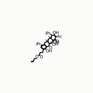 C=CCCOC(=O)CCc1cc(C(C)C)c2c(c1O)C(=O)C1=C(O)[C@@]3(O)C(=O)C(C(C)=O)=C(O)C(C(C)C)[C@@]3(C)C[C@@]1(C)C2